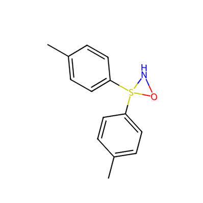 Cc1ccc(S2(c3ccc(C)cc3)NO2)cc1